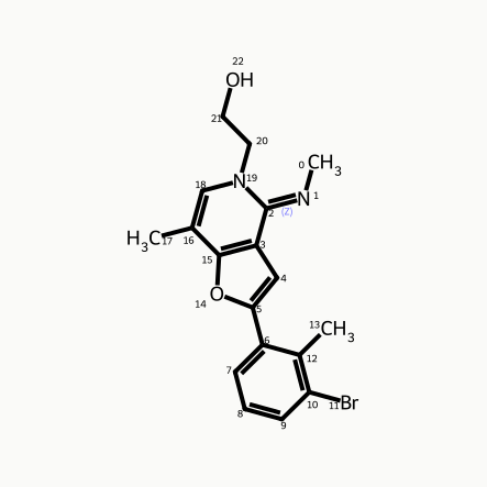 C/N=c1/c2cc(-c3cccc(Br)c3C)oc2c(C)cn1CCO